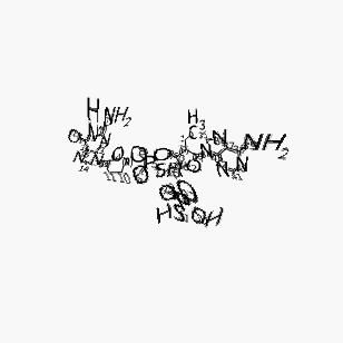 CC[C@@H]1[C@H](OP(=O)(S)O[C@@H]2CC[C@H](n3cnc4c(=O)[nH]c(N)nc43)O2)[C@@H](COP(=O)(O)S)O[C@H]1n1cnc2c(N)ncnc21